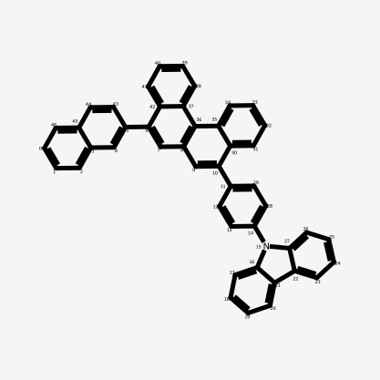 c1ccc2cc(-c3cc4cc(-c5ccc(-n6c7ccccc7c7ccccc76)cc5)c5ccccc5c4c4ccccc34)ccc2c1